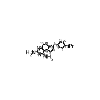 CC(C)c1ccc(Cn2ccc3c4c(N)nc(N)nc4ccc32)cc1